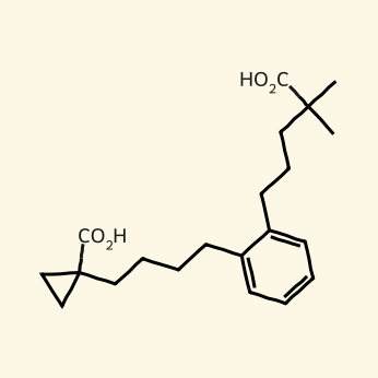 CC(C)(CCCc1ccccc1CCCCC1(C(=O)O)CC1)C(=O)O